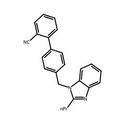 CCCc1nc2ccccc2n1Cc1ccc(-c2ccccc2C#N)cc1